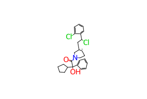 O=C(N1CC[CH]C(CC(Cl)c2ccccc2Cl)C1)C(O)(c1ccccc1)C1CCCC1